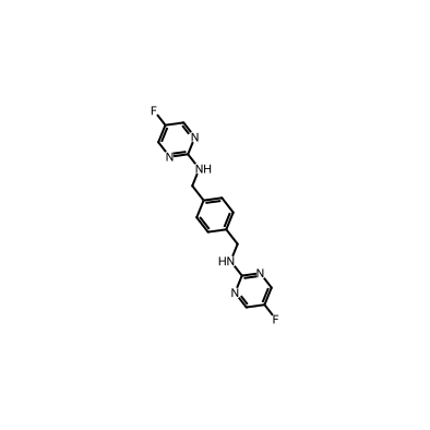 Fc1cnc(NCc2ccc(CNc3ncc(F)cn3)cc2)nc1